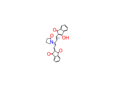 O=C1C(=C/C=C(/C=C/C2=C(O)c3ccccc3C2=O)N2CCCC2=O)C(=O)c2ccccc21